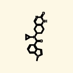 Cn1ccc2c(C(=O)N(C3CC3)C3CCc4[nH]c(=O)ncc4C3)cccc21